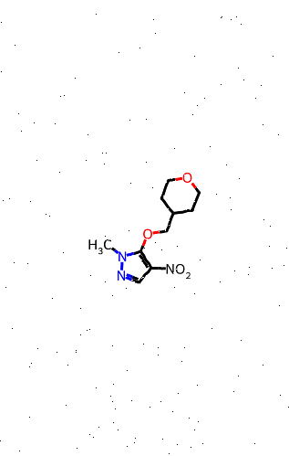 Cn1ncc([N+](=O)[O-])c1OCC1CCOCC1